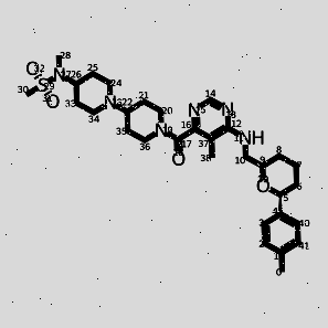 Cc1ccc([C@@H]2CCCC(CNc3ncnc(C(=O)N4CCC(N5CCC(N(C)S(C)(=O)=O)CC5)CC4)c3C)O2)cc1